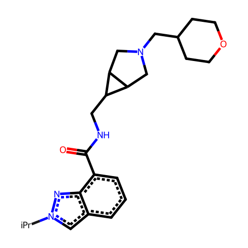 CC(C)n1cc2cccc(C(=O)NCC3C4CN(CC5CCOCC5)CC34)c2n1